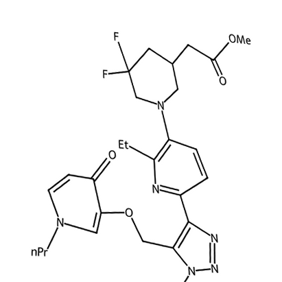 CCCn1ccc(=O)c(OCc2c(-c3ccc(N4CC(CC(=O)OC)CC(F)(F)C4)c(CC)n3)nnn2C)c1